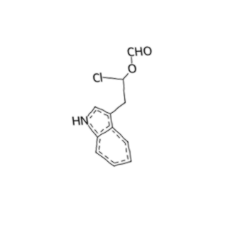 O=COC(Cl)Cc1c[nH]c2ccccc12